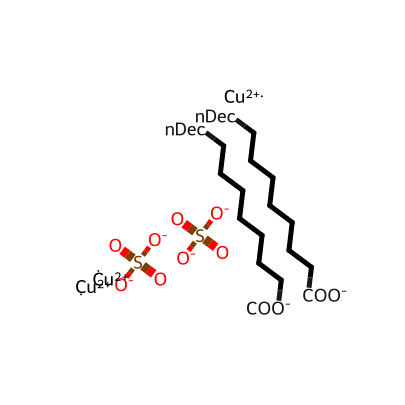 CCCCCCCCCCCCCCCCCC(=O)[O-].CCCCCCCCCCCCCCCCCC(=O)[O-].O=S(=O)([O-])[O-].O=S(=O)([O-])[O-].[Cu+2].[Cu+2].[Cu+2]